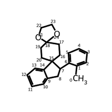 Cc1ccccc1C1Cc2ccccc2C12CCC1(CC2)OCCO1